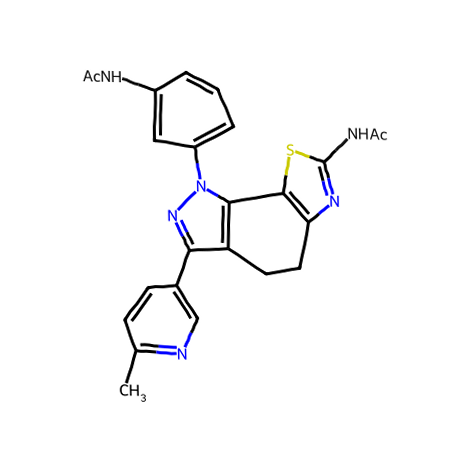 CC(=O)Nc1cccc(-n2nc(-c3ccc(C)nc3)c3c2-c2sc(NC(C)=O)nc2CC3)c1